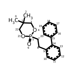 CC1(C)COP(=O)(CCc2ccccc2-c2ccccc2)OC1